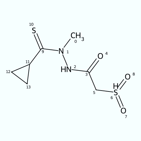 CN(NC(=O)C[SH](=O)=O)C(=S)C1CC1